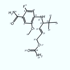 COc1cc(C(N)=O)c(F)cc1NC(C=CCOC(N)=O)C(C)(C)C